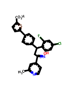 Cc1cc(/C(CC(c2ccc(-c3ccc(C(=O)O)s3)cc2)c2ccc(Cl)cc2F)=N/O)ccn1